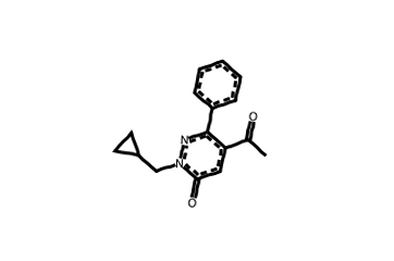 CC(=O)c1cc(=O)n(CC2CC2)nc1-c1ccccc1